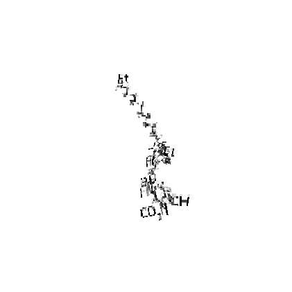 CCC=CCC=CCC=CCC=CCCSC(CC)(CC)C(=O)NCCOC(=O)Nc1ccc(O)c(C(=O)O)c1